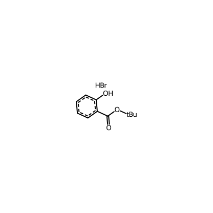 Br.CC(C)(C)OC(=O)c1ccccc1O